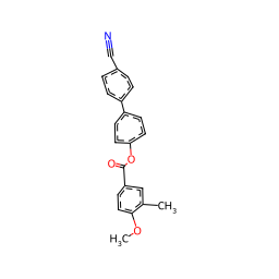 COc1ccc(C(=O)Oc2ccc(-c3ccc(C#N)cc3)cc2)cc1C